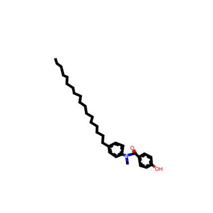 CCCCCCCCCCCCCCCCCCc1ccc(N(C)C(=O)c2ccc(O)cc2)cc1